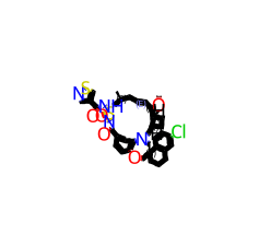 CO[C@H]1/C=C/C[C@H](C)CS(=O)(NC(=O)c2cnsc2)=NC(=O)c2ccc3c(c2)N(C[C@@H]2CC[C@H]21)C[C@@]1(CCCc2cc(Cl)ccc21)CO3